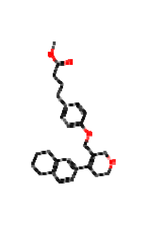 COC(=O)CCCc1ccc(OCC2=C(c3ccc4c(c3)CCCC4)CCOC2)cc1